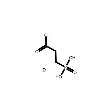 O=C(O)CCP(=O)(O)O.[Zr]